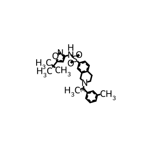 Cc1cccc([C@@H](C)N2CCc3ccc(S(=O)(=O)Nc4cc(C(C)(C)C)on4)cc3C2)c1